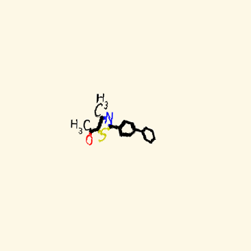 CC(=O)c1sc(-c2ccc(C3=CCCCC3)cc2)nc1C